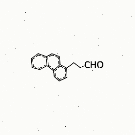 O=CCCc1cccc2c1ccc1ccccc12